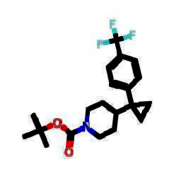 CC(C)(C)OC(=O)N1CCC(C2(c3ccc(C(F)(F)F)cc3)CC2)CC1